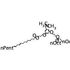 CCCCCC=CCC=CCCCCCCCC(=O)OCCCOc1cc(CN(C)C)cc(OCCCOC(=O)CC(CCCCCCCC)CCCCCCCC)c1